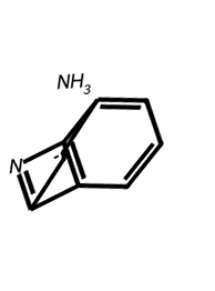 N.c1cc2c3nc-2ccc3c1